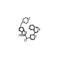 CN1CCN(Cc2ccc3[nH]c(C(=O)c4ccnc(-c5cncc6ccccc56)c4)nc3c2)CC1